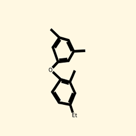 CCc1ccc(Oc2cc(C)cc(C)c2)c(C)c1